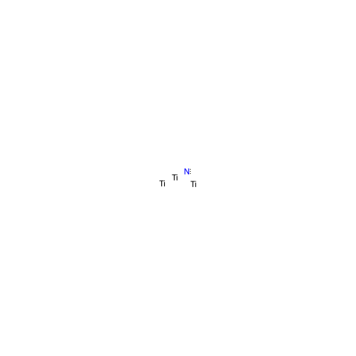 [N].[Ti].[Ti].[Ti]